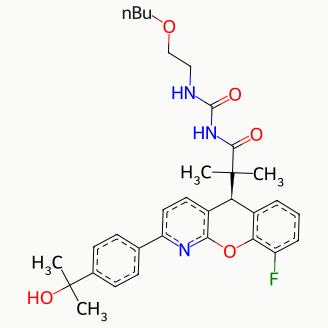 CCCCOCCNC(=O)NC(=O)C(C)(C)[C@@H]1c2ccc(-c3ccc(C(C)(C)O)cc3)nc2Oc2c(F)cccc21